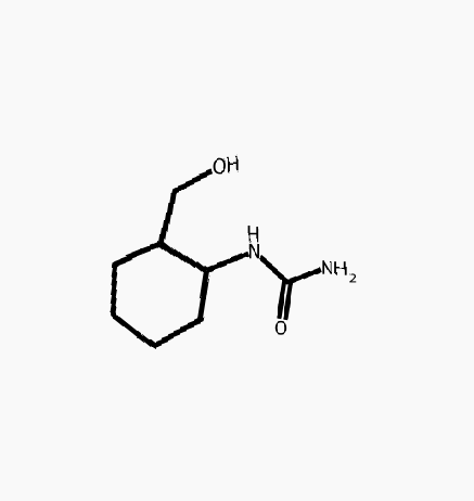 NC(=O)NC1CCCCC1CO